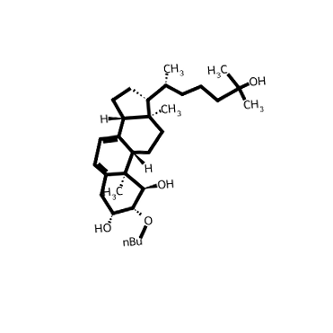 CCCCO[C@@H]1[C@H](O)CC2=CC=C3[C@@H]4CC[C@H]([C@H](C)CCCC(C)(C)O)[C@@]4(C)CC[C@@H]3[C@@]2(C)[C@H]1O